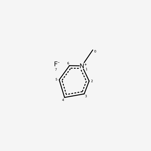 C[n+]1ccccc1.[F-]